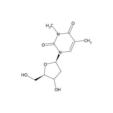 Cc1cn([C@H]2CC(O)[C@@H](CO)O2)c(=O)n(C)c1=O